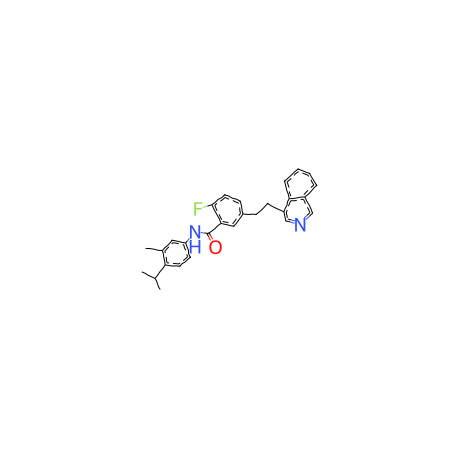 Cc1cc(NC(=O)c2cc(CCc3cncc4ccccc34)ccc2F)ccc1C(C)C